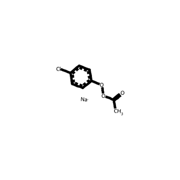 CC(=O)OOc1ccc(Cl)cc1.[Na]